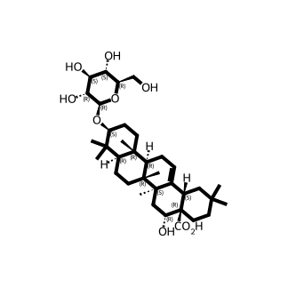 CC1(C)CC[C@]2(C(=O)O)[C@H](O)C[C@]3(C)C(=CC[C@@H]4[C@@]5(C)CC[C@H](O[C@@H]6O[C@H](CO)[C@@H](O)[C@H](O)[C@H]6O)C(C)(C)[C@@H]5CC[C@]43C)[C@@H]2C1